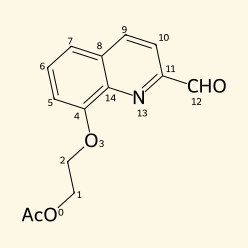 CC(=O)OCCOc1cccc2ccc(C=O)nc12